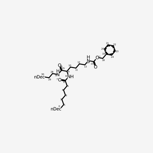 CCCCCCCCCCCCCCCC(=O)NC(CCCCNC(=O)OCc1ccccc1)C(=O)NCCCCCCCCCCCC